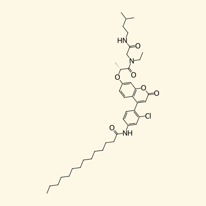 CCCCCCCCCCCCCC(=O)Nc1ccc(-c2cc(=O)oc3cc(O[C@H](C)C(=O)N(CC)CC(=O)NCCC(C)C)ccc23)c(Cl)c1